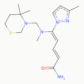 Cc1ccn(/C(=C/C=C/C(N)=O)N(C)CN2CSCCC2(C)C)n1